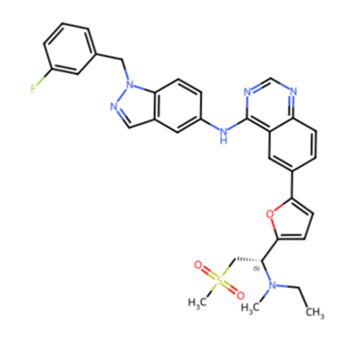 CCN(C)[C@H](CS(C)(=O)=O)c1ccc(-c2ccc3ncnc(Nc4ccc5c(cnn5Cc5cccc(F)c5)c4)c3c2)o1